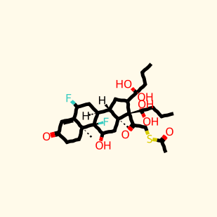 CCCC(O)(O)C1C[C@H]2[C@@H]3CC(F)C4=CC(=O)CC[C@]4(C)[C@@]3(F)C(O)C[C@]2(C)[C@]1(C(=O)CSC(C)=O)C(O)(O)CCC